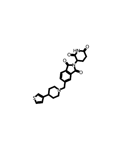 O=C1CCC(N2C(=O)c3ccc(CN4CCC(c5ccsc5)CC4)cc3C2=O)C(=O)N1